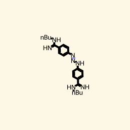 CCCCNC(=N)c1ccc(/N=N/Nc2ccc(C(=N)NCCCC)cc2)cc1